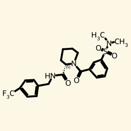 CN(C)S(=O)(=O)c1cccc(C(=O)N2CCCC[C@H]2C(=O)NCc2ccc(C(F)(F)F)cc2)c1